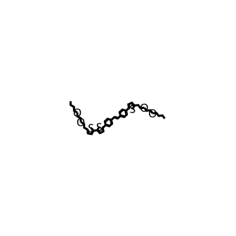 CCCCOCCOCCc1ccc(-c2ccc(/C=C/c3ccc(-c4ccc(-c5ccc(CCOCCOCCCC)s5)s4)cc3)cc2)s1